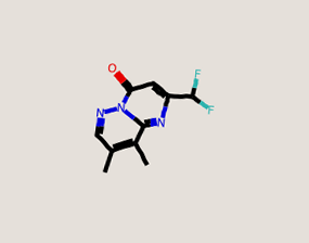 Cc1cnn2c(=O)cc(C(F)F)nc2c1C